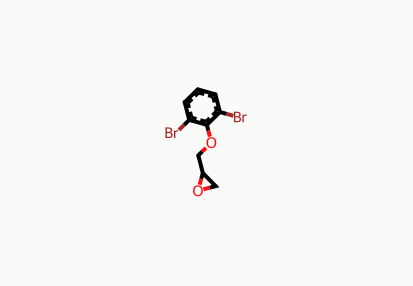 Brc1cccc(Br)c1OCC1CO1